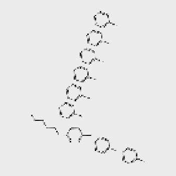 CCCCCCc1ccc(C)cc1.Cc1ccccc1.Cc1ccccc1.Cc1ccccc1.Cc1ccccc1.Cc1ccccc1.Cc1ccccc1.Cc1ccccc1.Cc1ccccc1